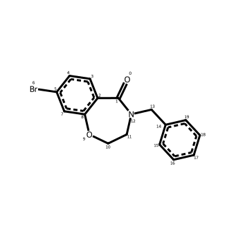 O=C1c2ccc(Br)cc2OCCN1Cc1ccccc1